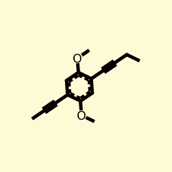 CC#Cc1cc(OC)c(C#CCC)cc1OC